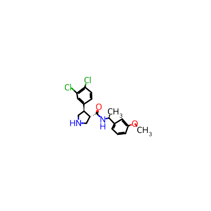 COc1cccc([C@H](C)NC(=O)[C@@H]2CNC[C@H]2c2ccc(Cl)c(Cl)c2)c1